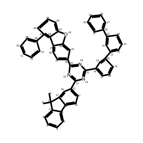 CC1(C)c2ccccc2-c2ccc(-c3nc(-c4cccc(-c5cccc(-c6ccccc6)c5)c4)nc(-c4ccc5c(c4)oc4cccc(-c6ccccc6)c45)n3)cc21